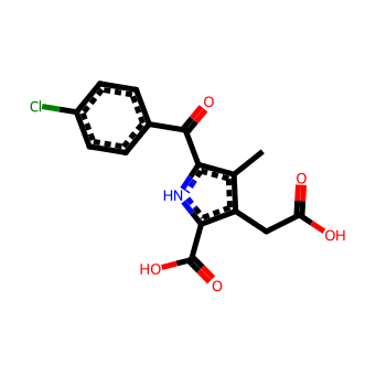 Cc1c(C(=O)c2ccc(Cl)cc2)[nH]c(C(=O)O)c1CC(=O)O